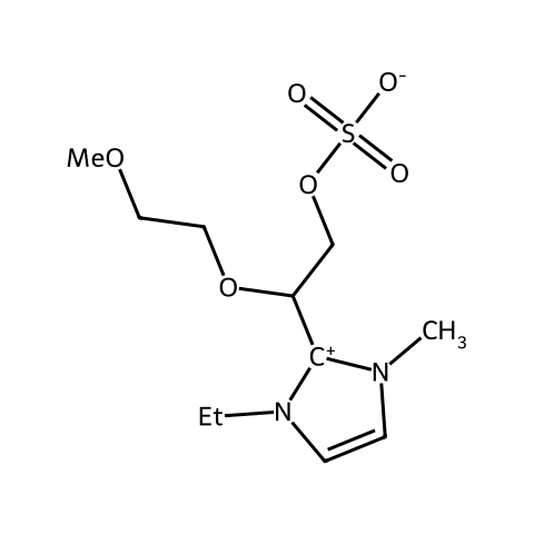 CCn1ccn(C)[c+]1C(COS(=O)(=O)[O-])OCCOC